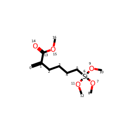 C=C(CCCC[Si](OC)(OC)OC)C(=O)OC